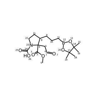 COC(=O)C1(CC=O)C(CCCB2OC(C)(C)C(C)(C)O2)CCN1C(=O)O